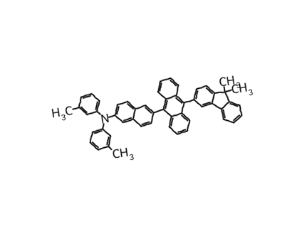 Cc1cccc(N(c2cccc(C)c2)c2ccc3cc(-c4c5ccccc5c(-c5ccc6c(c5)-c5ccccc5C6(C)C)c5ccccc45)ccc3c2)c1